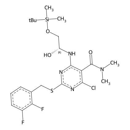 CN(C)C(=O)c1c(Cl)nc(SCc2cccc(F)c2F)nc1N[C@H](O)CO[Si](C)(C)C(C)(C)C